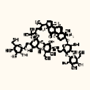 C[C@H](CC[C@@H](O[C@@H]1O[C@H](CO[C@@H]2O[C@H](CO)[C@@H](O)[C@H](O)[C@H]2O)[C@@H](O)[C@H](O)[C@H]1O[C@@H]1O[C@H](CO)[C@@H](O)[C@H](O)[C@H]1O)C(C)(C)O)[C@H]1CC[C@@]2(C)C3CC=C4C(CC[C@H](O[C@@H]5O[C@H](CO)[C@@H](O[C@@H]6O[C@H](CO)[C@@H](O)[C@H](O)[C@H]6O)[C@H](O)[C@H]5O)C4(C)C)[C@]3(C)C(=O)C[C@]12C